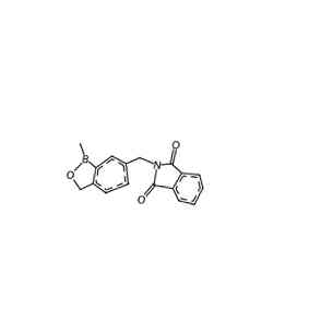 CB1OCc2ccc(CN3C(=O)c4ccccc4C3=O)cc21